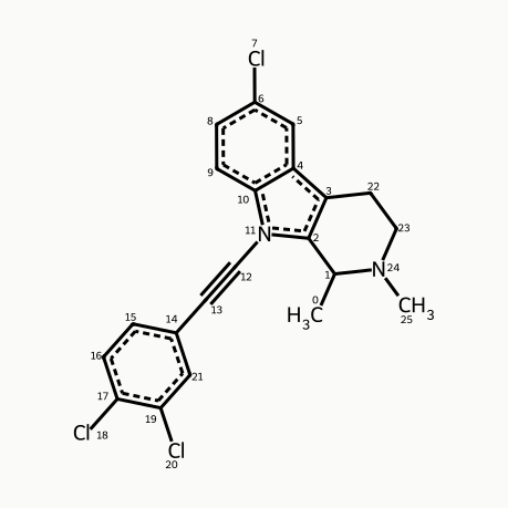 CC1c2c(c3cc(Cl)ccc3n2C#Cc2ccc(Cl)c(Cl)c2)CCN1C